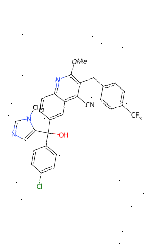 COc1nc2ccc(C(O)(c3ccc(Cl)cc3)c3cncn3C)cc2c(C#N)c1Cc1ccc(C(F)(F)F)cc1